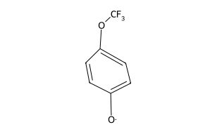 [O]c1ccc(OC(F)(F)F)cc1